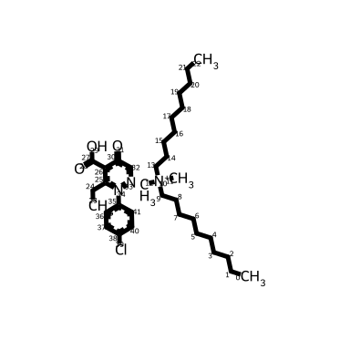 CCCCCCCCCC[N+](C)(C)CCCCCCCCCC.CCc1c(C(=O)O)c(=O)cnn1-c1ccc(Cl)cc1